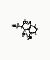 NC(c1ccccc1O)C(C(=O)O)C(=O)O